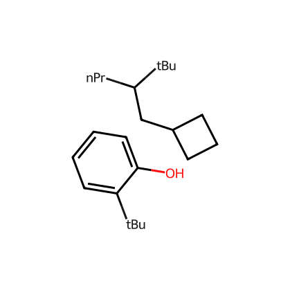 CC(C)(C)c1ccccc1O.CCCC(CC1CCC1)C(C)(C)C